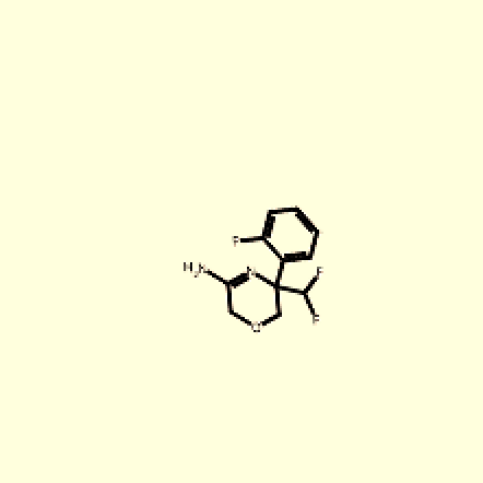 NC1=NC(c2c[c]ccc2F)(C(F)F)COC1